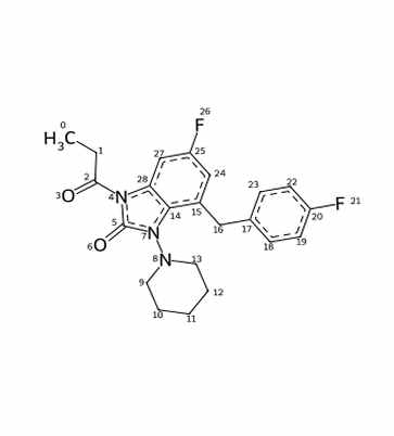 CCC(=O)n1c(=O)n(N2CCCCC2)c2c(Cc3ccc(F)cc3)cc(F)cc21